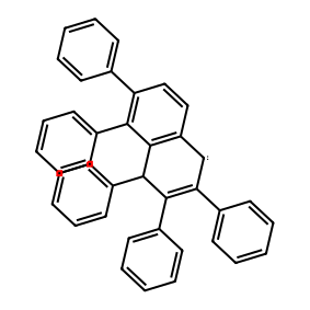 [C]1C(c2ccccc2)=C(c2ccccc2)C(c2ccccc2)c2c1ccc(-c1ccccc1)c2-c1ccccc1